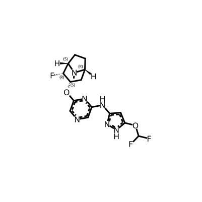 CN1[C@@H]2CC[C@H]1[C@@H](F)[C@@H](Oc1cncc(Nc3cc(OC(F)F)[nH]n3)n1)C2